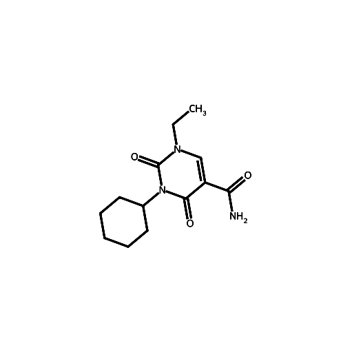 CCn1cc(C(N)=O)c(=O)n(C2CCCCC2)c1=O